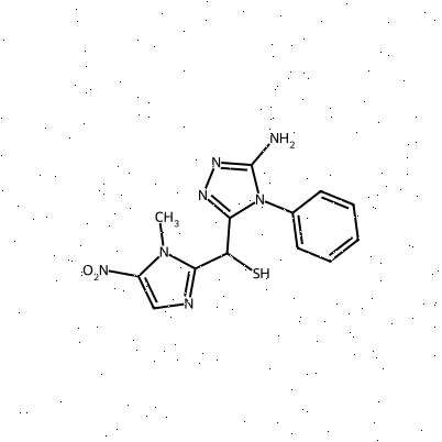 Cn1c([N+](=O)[O-])cnc1C(S)c1nnc(N)n1-c1ccccc1